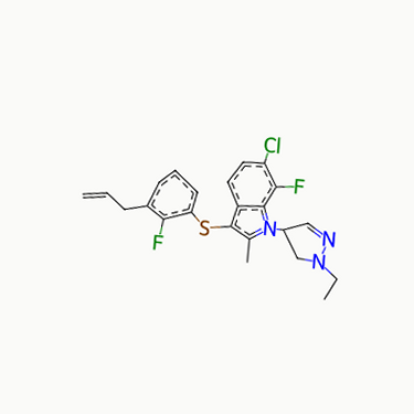 C=CCc1cccc(Sc2c(C)n(C3C=NN(CC)C3)c3c(F)c(Cl)ccc23)c1F